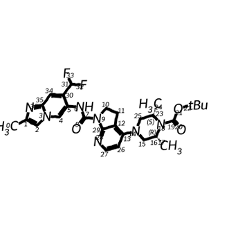 Cc1cn2cc(NC(=O)N3CCc4c(N5C[C@@H](C)N(C(=O)OC(C)(C)C)[C@@H](C)C5)ccnc43)c(C(F)F)cc2n1